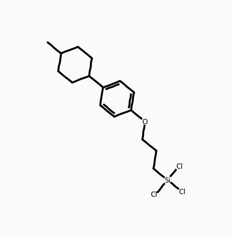 CC1CCC(c2ccc(OCCC[Si](Cl)(Cl)Cl)cc2)CC1